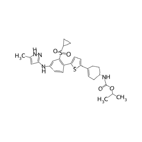 Cc1cc(Nc2ccc(-c3ccc(C4=CC[C@@H](NC(=O)OC(C)C)CC4)s3)c(S(=O)(=O)C3CC3)c2)n[nH]1